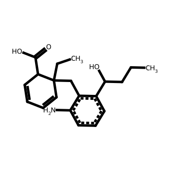 CCCC(O)c1cccc(N)c1CC1(CC)C=CC=CC1C(=O)O